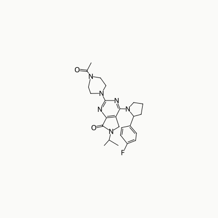 CC(=O)N1CCN(c2nc3c(c(N4CCCC4c4ccc(F)cc4)n2)CN(C(C)C)C3=O)CC1